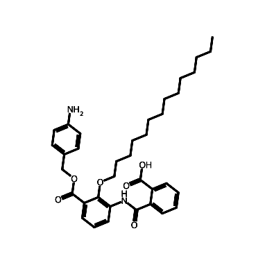 CCCCCCCCCCCCCCOc1c(NC(=O)c2ccccc2C(=O)O)cccc1C(=O)OCc1ccc(N)cc1